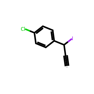 [C]#CC(I)c1ccc(Cl)cc1